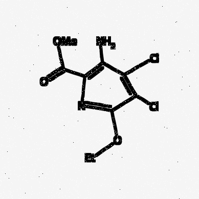 CCOc1nc(C(=O)OC)c(N)c(Cl)c1Cl